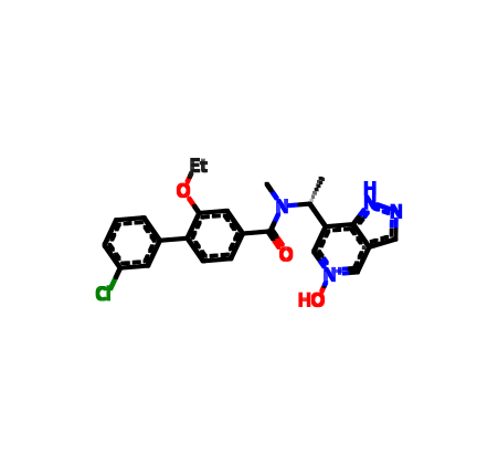 CCOc1cc(C(=O)N(C)[C@H](C)c2c[n+](O)cc3cn[nH]c23)ccc1-c1cccc(Cl)c1